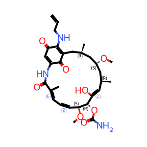 C=CCNC1=C2C[C@@H](C)C[C@H](OC)C[C@@H](C)/C=C(\O)[C@H](OC(N)=O)[C@@H](OC)/C=C\C=C(/C)C(=O)NC(=CC1=O)C2=O